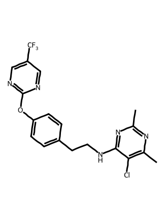 Cc1nc(C)c(Cl)c(NCCc2ccc(Oc3ncc(C(F)(F)F)cn3)cc2)n1